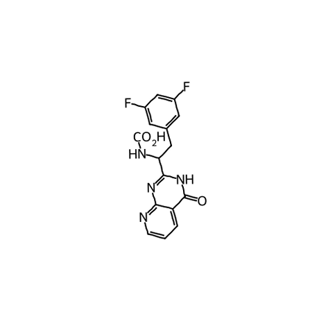 O=C(O)NC(Cc1cc(F)cc(F)c1)c1nc2ncccc2c(=O)[nH]1